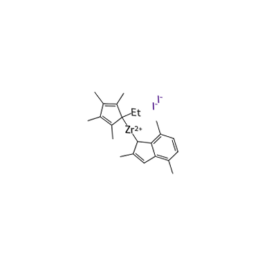 CC[C]1([Zr+2][CH]2C(C)=Cc3c(C)ccc(C)c32)C(C)=C(C)C(C)=C1C.[I-].[I-]